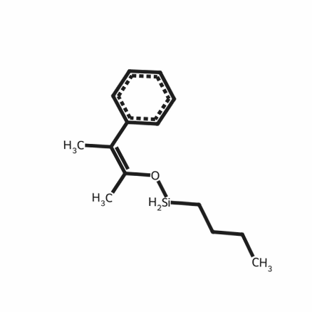 CCCC[SiH2]OC(C)=C(C)c1ccccc1